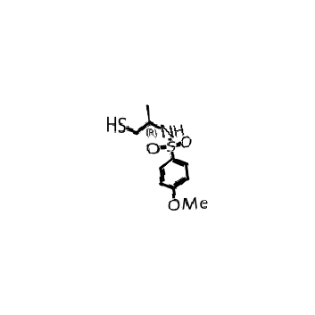 COc1ccc(S(=O)(=O)N[C@H](C)CS)cc1